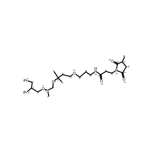 CC(C)CC(CON(C)COC(C)(C)CCOCCCNC(=O)CCN1C(=O)CC(C)C1=O)C(C)C